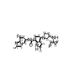 Cc1cn2cc(NC(=O)c3ccc(N4CCC(NC5(CF)CC5)C4)c4cc(C)[nH]c34)cc(F)c2n1